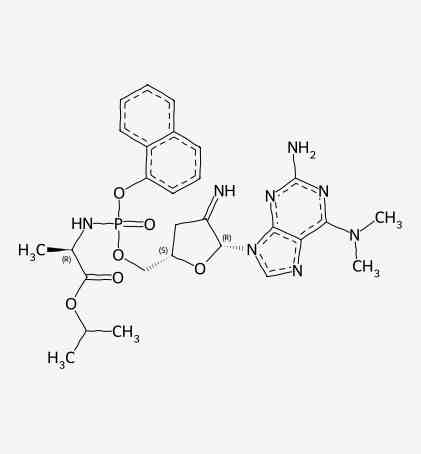 CC(C)OC(=O)[C@@H](C)NP(=O)(OC[C@@H]1CC(=N)[C@H](n2cnc3c(N(C)C)nc(N)nc32)O1)Oc1cccc2ccccc12